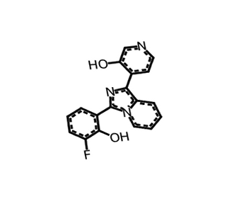 Oc1cnccc1-c1nc(-c2cccc(F)c2O)n2ccccc12